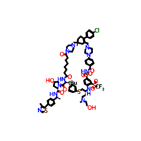 Cc1ncsc1-c1ccc([C@H](C)NC(=O)[C@@H]2C[C@@H](O)CN2C(=O)[C@@H](NC(=O)CCCCCCC(=O)N2CCN(C[C@]3(C)CCC(c4ccc(Cl)cc4)=C(CN4CCN(c5ccc(C(=O)NS(=O)(=O)c6ccc(N[C@H](CCN(C)CCO)CSc7ccccc7)c(S(=O)(=O)C(F)(F)F)c6)cc5)CC4)C3)CC2)C(C)(C)C)cc1